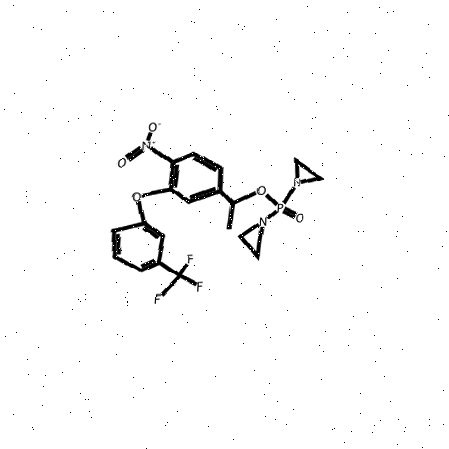 CC(OP(=O)(N1CC1)N1CC1)c1ccc([N+](=O)[O-])c(Oc2cccc(C(F)(F)F)c2)c1